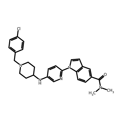 CN(C)C(=O)c1ccc2c(ccn2-c2ccc(NC3CCN(Cc4ccc(Cl)cc4)CC3)cn2)c1